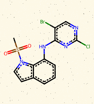 CS(=O)(=O)n1ccc2cccc(Nc3nc(Cl)ncc3Br)c21